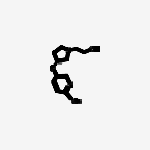 CC(C)(C)c1ccc(O[C@@H]2CCN(CCO)C2)cn1